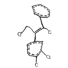 ClCC(=C(Cl)c1ccccc1)c1ccc(Cl)c(Cl)c1